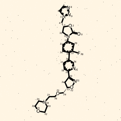 O=C1O[C@@H](Cn2ccnn2)CN1c1ccc(-c2ccc(C3=NO[C@H](COCCN4CCOCC4)C3)nc2)c(F)c1